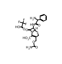 NC(=O)OCC1=C(C(=O)O)N2C(=O)C(NC(=O)C(N)c3ccccc3)[C@H]2SC1.O=C(O)C(F)(F)F